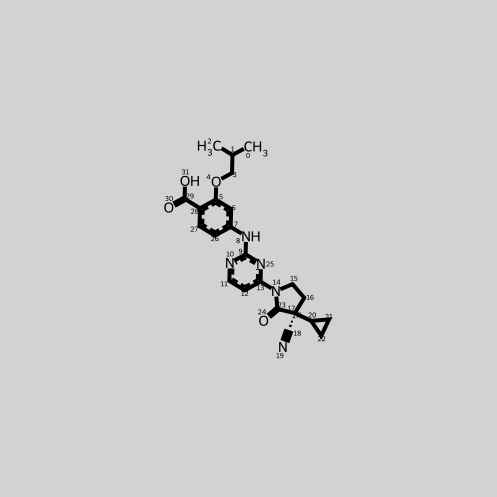 CC(C)COc1cc(Nc2nccc(N3CC[C@@](C#N)(C4CC4)C3=O)n2)ccc1C(=O)O